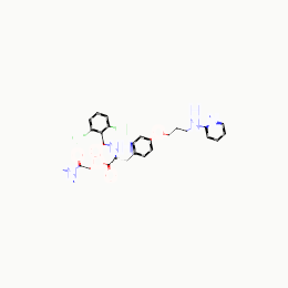 CN(C)C(=O)COC(=O)[C@H](Cc1ccc(OCCCNc2ccccn2)cc1)NC(=O)c1c(Cl)cccc1Cl